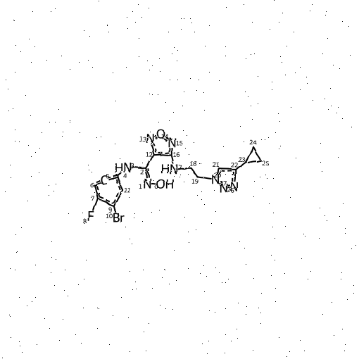 ON=C(Nc1ccc(F)c(Br)c1)c1nonc1NCCn1cc(C2CC2)nn1